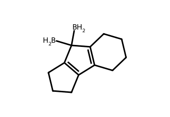 BC1(B)C2=C(CCCC2)C2=C1CCC2